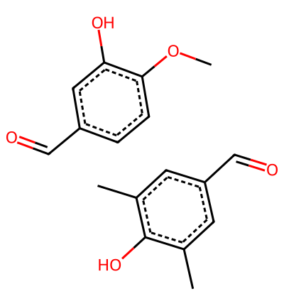 COc1ccc(C=O)cc1O.Cc1cc(C=O)cc(C)c1O